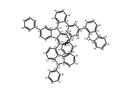 c1ccc(-c2ccc3c4c(-c5cccc6c5c5ccccc5n6-c5ccccc5)cccc4n(-c4ccccc4-c4nc(-c5ccccc5)nc(-c5cccc6c5oc5ccccc56)n4)c3c2)cc1